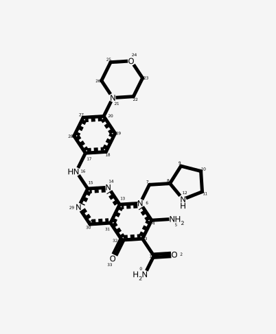 NC(=O)c1c(N)n(CC2CCCN2)c2nc(Nc3ccc(N4CCOCC4)cc3)ncc2c1=O